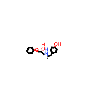 C[C@H](Cc1ccc(O)cc1)NC[C@H](O)COc1ccccc1